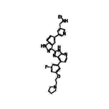 CCNCc1cncc(-c2ccc3[nH]nc(-c4nc5c(-c6cc(F)cc(OCCN7CCCC7)c6)ccnc5[nH]4)c3c2)c1